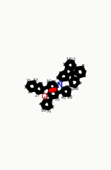 C1=CC(C2(c3ccccc3)c3ccccc3-c3ccc(N(c4ccc(-c5ccc6ccccc6c5)cc4)c4ccccc4-c4ccc5oc6ccccc6c5c4)cc32)=CCC1